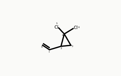 C=CC1CC1(Cl)Cl